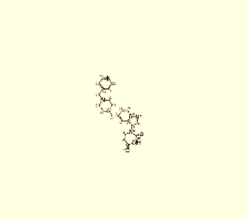 O=c1ccn(-c2cnn3ccc(CN4CCN(Cc5ccncc5)CC4)cc23)c(=O)[nH]1